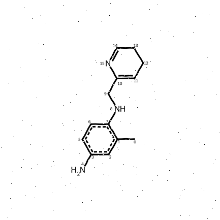 Cc1cc(N)ccc1NCC1=CCCC=N1